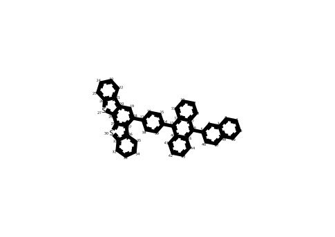 c1ccc2cc(-c3c4ccccc4c(-c4ccc(-c5cc6c7ccccc7sc6c6sc7ccccc7c56)cc4)c4ccccc34)ccc2c1